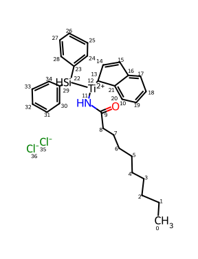 CCCCCCCCCC(=O)[NH][Ti+2]([CH]1C=Cc2ccccc21)[SiH](c1ccccc1)c1ccccc1.[Cl-].[Cl-]